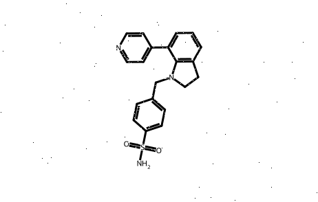 NS(=O)(=O)c1ccc(CN2CCc3cccc(-c4ccncc4)c32)cc1